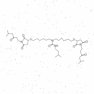 CC(C)CCNC(=O)N(CCCCCCSC1CC(=O)N(CCC(=O)CC(C)C)C1=O)CCCCCCSC1CC(=O)N(CCC(=O)CC(C)C)C1=O